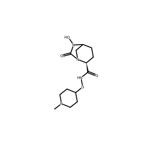 CN1CCC(ONC(=O)[C@@H]2CCC3CN2C(=O)N3O)CC1